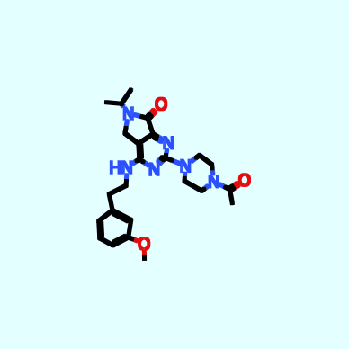 COc1cccc(CCNc2nc(N3CCN(C(C)=O)CC3)nc3c2CN(C(C)C)C3=O)c1